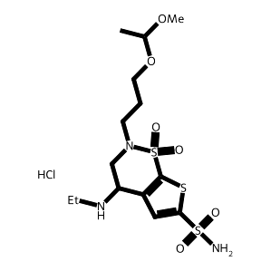 CCNC1CN(CCCOC(C)OC)S(=O)(=O)c2sc(S(N)(=O)=O)cc21.Cl